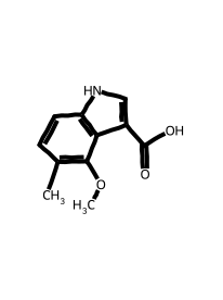 COc1c(C)ccc2[nH]cc(C(=O)O)c12